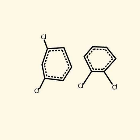 Clc1cccc(Cl)c1.Clc1ccccc1Cl